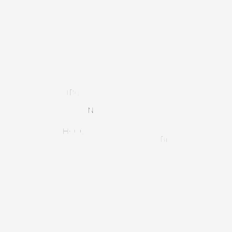 CC(C)(C)N(CCCBr)C(=O)O